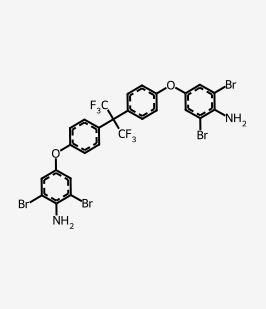 Nc1c(Br)cc(Oc2ccc(C(c3ccc(Oc4cc(Br)c(N)c(Br)c4)cc3)(C(F)(F)F)C(F)(F)F)cc2)cc1Br